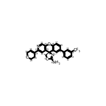 NC1=N[C@@]2(CO1)c1cc(-c3cccc(C(F)(F)F)c3)ccc1Oc1cnc(C3=CCOCC3)cc12